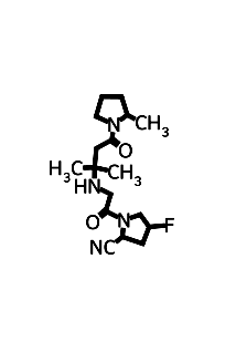 CC1CCCN1C(=O)CC(C)(C)NCC(=O)N1CC(F)CC1C#N